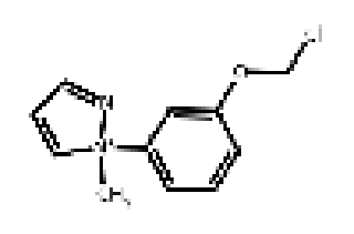 C[N+]1(c2cccc(OCCl)c2)C=CC=N1